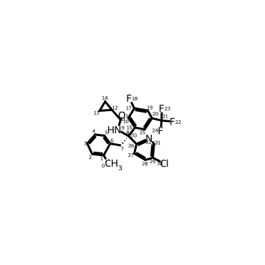 Cc1ccccc1C[C@](NC(=O)C1CC1)(c1cc(F)cc(C(F)(F)F)c1)c1ccc(Cl)cn1